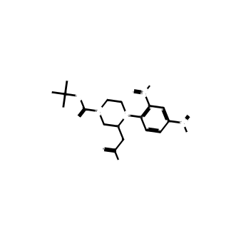 CC(C)(C)OC(=O)N1CCN(c2ccc([N+](=O)[O-])cc2[N+](=O)[O-])C(CC(=O)O)C1